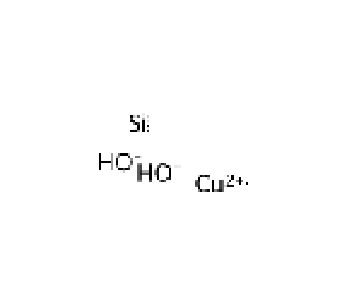 [Cu+2].[OH-].[OH-].[Si]